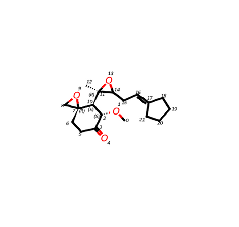 CO[C@@H]1C(=O)CC[C@]2(CO2)[C@H]1[C@@]1(C)OC1CC=C1CCCC1